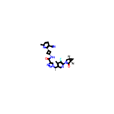 Cc1ccc(C#N)c([C@H]2C[C@@H](NC(=O)c3cn([C@@H](C)c4cnc(N5C[C@H]6C[C@H]6C5=O)c(F)c4C)nn3)C2)n1